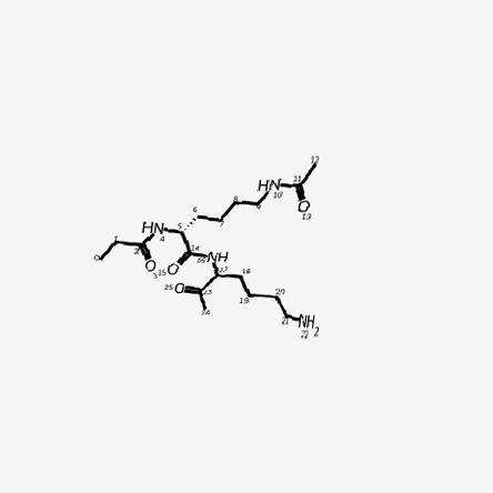 CCC(=O)N[C@H](CCCCNC(C)=O)C(=O)NC(CCCCN)C(C)=O